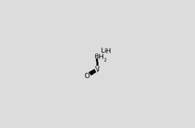 [BH2][V]=[O].[LiH]